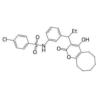 CCC(c1cccc(NS(=O)(=O)c2ccc(Cl)cc2)c1)c1c(O)c2c(oc1=O)CCCCCC2